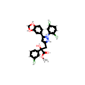 COC(=O)C(O)(Cc1cc(-c2ccc3c(c2)OCO3)n(-c2cc(Cl)ccc2Cl)n1)c1cccc(Cl)c1